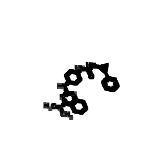 CN(C)c1nc(NC2CCC(NC(=O)NC3C[C@H]3c3ccccc3)CC2)nc2c1CCCC2